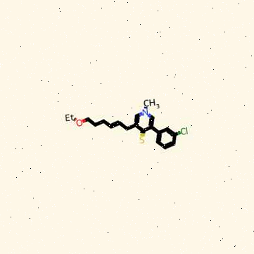 CCOCCCC=CCc1cn(C)cc(-c2cccc(Cl)c2)c1=S